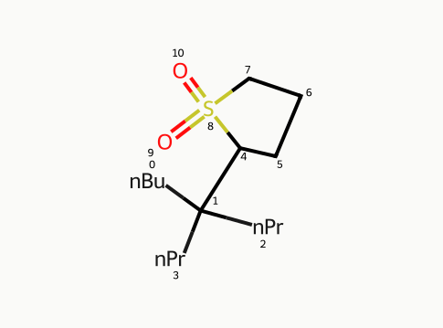 CCCCC(CCC)(CCC)C1CCCS1(=O)=O